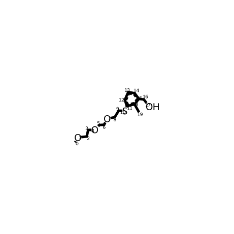 COCCOCCOCCSc1cccc(CO)c1C